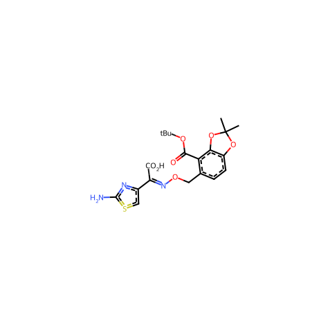 CC(C)(C)OC(=O)c1c(CO/N=C(\C(=O)O)c2csc(N)n2)ccc2c1OC(C)(C)O2